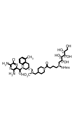 CCCCCCN(CCCC(=O)N1CCC(CN(C[C@H](CNC(=O)c2nc(Cl)c(N)nc2N)Cc2ccccc2C)C(=O)O)CC1)C[C@H](O)[C@@H](O)[C@H](O)[C@H](O)CO